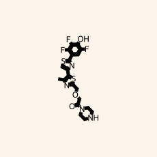 Cc1nc(COCC(=O)N2CCNCC2)sc1-c1csc(-c2cc(F)c(O)c(F)c2F)n1